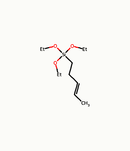 CC=CCC[Si](OCC)(OCC)OCC